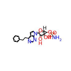 NS(=O)(=O)OC1[C@H]2O[C@@H](n3ccc4c(CCc5ccccc5)ncnc43)[C@H](O)[C@@]12O